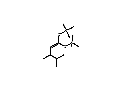 CC(C)C(C)/C=C(\O[SiH](C)C)O[Si](C)(C)C